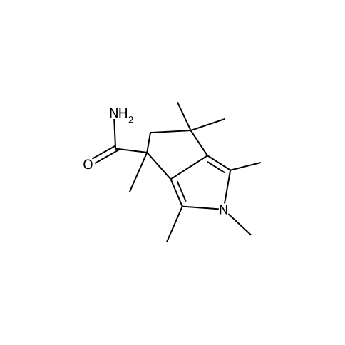 Cc1c2c(c(C)n1C)C(C)(C(N)=O)CC2(C)C